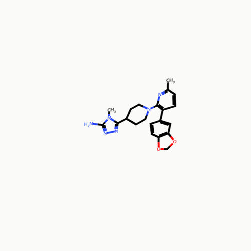 Cc1ccc(-c2ccc3c(c2)OCO3)c(N2CCC(c3nnc(N)n3C)CC2)n1